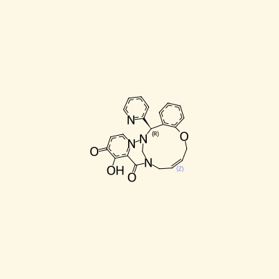 O=C1c2c(O)c(=O)ccn2N2CN1C/C=C\COc1ccccc1[C@@H]2c1ccccn1